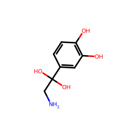 NCC(O)(O)c1ccc(O)c(O)c1